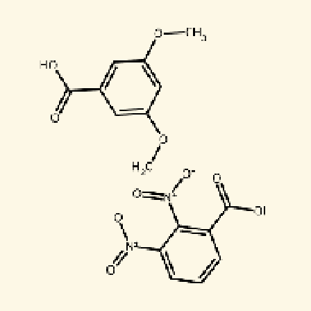 COc1cc(OC)cc(C(=O)O)c1.O=C(O)c1cccc([N+](=O)[O-])c1[N+](=O)[O-]